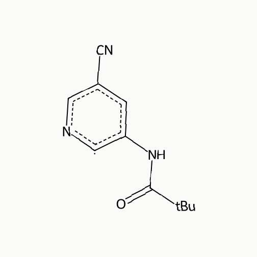 CC(C)(C)C(=O)Nc1[c]ncc(C#N)c1